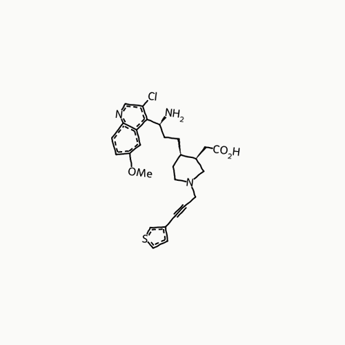 COc1ccc2ncc(Cl)c([C@@H](N)CC[C@@H]3CCN(CC#Cc4ccsc4)C[C@@H]3CC(=O)O)c2c1